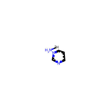 [2H]N.c1cncnc1